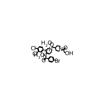 CN(C(=O)c1ccc(Br)cc1)[C@@H]1CCN(C(=O)C2CCN(C(=O)CO)CC2)C[C@H]1c1ccc(Cl)c(Cl)c1.O